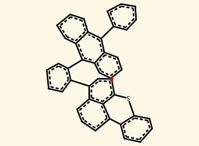 c1ccc(-c2c3ccccc3c(-c3ccccc3-c3ccc4c5c(cccc35)-c3ccccc3S4)c3ccccc23)cc1